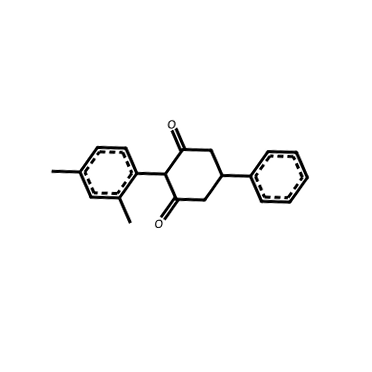 Cc1ccc(C2C(=O)CC(c3ccccc3)CC2=O)c(C)c1